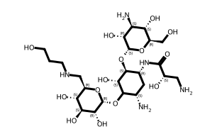 NC[C@H](O)C(=O)N[C@@H]1C[C@H](N)C(O[C@H]2O[C@H](CNCCCO)[C@@H](O)[C@H](O)[C@H]2O)[C@H](O)[C@H]1O[C@H]1O[C@H](CO)[C@@H](O)[C@H](N)[C@H]1O